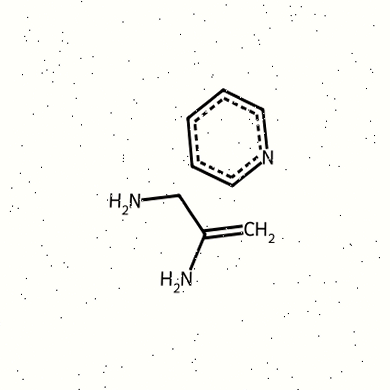 C=C(N)CN.c1ccncc1